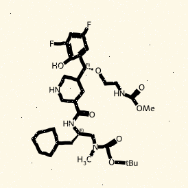 COC(=O)NCCO[C@@H](c1cc(F)cc(F)c1O)C1CNCC(C(=O)N[C@H](CC2CCCCC2)CN(C)C(=O)OC(C)(C)C)C1